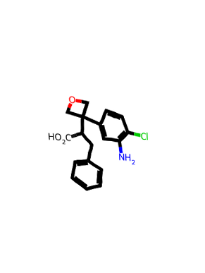 Nc1cc(C2(C(Cc3ccccc3)C(=O)O)COC2)ccc1Cl